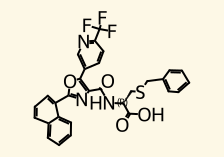 O=C(N[C@@H](CSCc1ccccc1)C(=O)O)c1nc(-c2cccc3ccccc23)oc1-c1ccc(C(F)(F)F)nc1